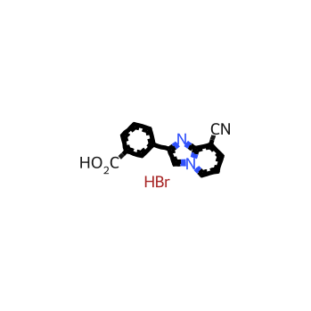 Br.N#Cc1cccn2cc(-c3cccc(C(=O)O)c3)nc12